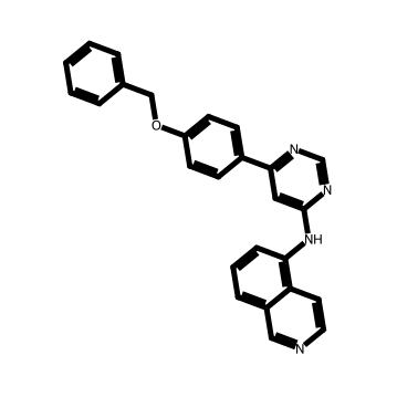 c1ccc(COc2ccc(-c3cc(Nc4cccc5cnccc45)ncn3)cc2)cc1